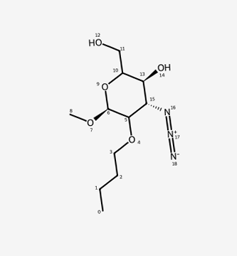 CCCCOC1[C@@H](OC)OC(CO)[C@@H](O)[C@@H]1N=[N+]=[N-]